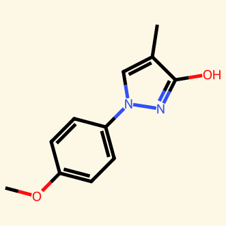 COc1ccc(-n2cc(C)c(O)n2)cc1